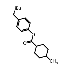 CC[C@H](C)Cc1ccc(OC(=O)C2CCC(C)CC2)cc1